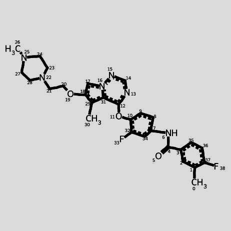 Cc1cc(C(=O)Nc2ccc(Oc3ncnn4cc(OCCN5CCN(C)CC5)c(C)c34)c(F)c2)ccc1F